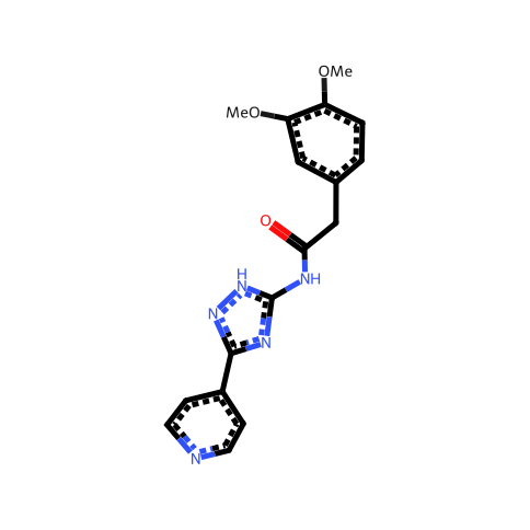 COc1ccc(CC(=O)Nc2nc(-c3ccncc3)n[nH]2)cc1OC